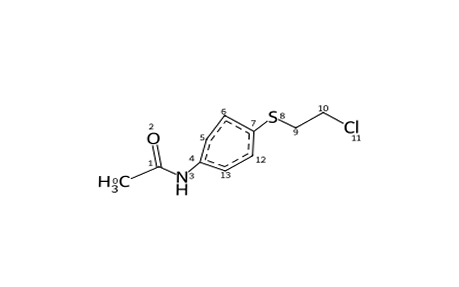 CC(=O)Nc1ccc(SCCCl)cc1